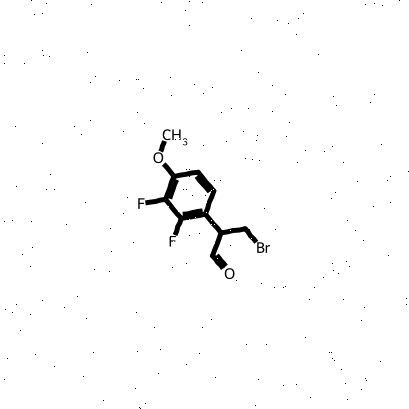 COc1ccc(C(C=O)CBr)c(F)c1F